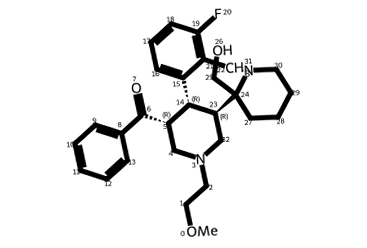 COCCN1C[C@H](C(=O)c2ccccc2)[C@H](c2cccc(F)c2C)[C@@H](C2(CO)CCCC[N]2)C1